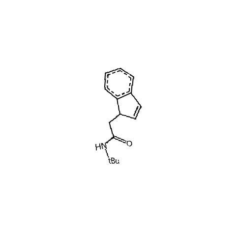 CC(C)(C)NC(=O)CC1C=Cc2ccccc21